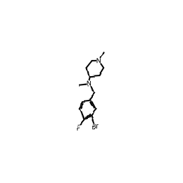 CN1CCC(N(C)Cc2ccc(F)c(Br)c2)CC1